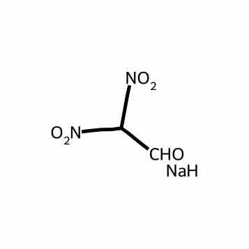 O=CC([N+](=O)[O-])[N+](=O)[O-].[NaH]